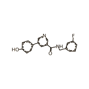 O=C(NCc1cccc(F)c1)c1cncc(-c2ccc(O)cc2)c1